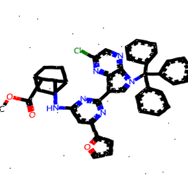 COC(=O)C1C2CCC(CC2)C1Nc1cc(-c2ccco2)nc(-c2cn(C(c3ccccc3)(c3ccccc3)c3ccccc3)c3ncc(Cl)nc23)n1